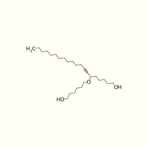 CCCCCCCCCCCCC#CC(CCCCCO)OCCCCCCO